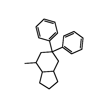 CC1CC(c2ccccc2)(c2ccccc2)CC2CCCC12